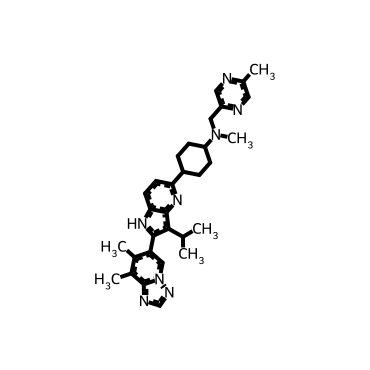 Cc1cnc(CN(C)C2CCC(c3ccc4[nH]c(-c5cn6ncnc6c(C)c5C)c(C(C)C)c4n3)CC2)cn1